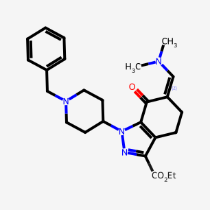 CCOC(=O)c1nn(C2CCN(Cc3ccccc3)CC2)c2c1CC/C(=C/N(C)C)C2=O